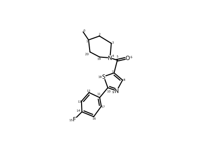 CC1CCN(C(=O)c2cnc(-c3ccc(F)cc3)s2)CC1